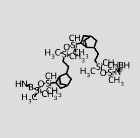 B=N[Si](C)(C)O[Si](C)(C)CCC1CC2CC1C([Si](C)(C)O[Si](C)(C)CCC1CC3CC1C([Si](C)(C)O[Si](C)(C)B=N)C3)C2